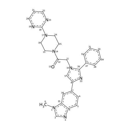 Cn1cnc2ccc(-c3cn(CC(=O)N4CCN(c5ncccn5)CC4)c(-c4ccccc4)n3)cc21